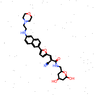 N#C/C(=C\c1ccc(-c2ccc3cc(NCCN4CCOCC4)ccc3c2)o1)C(=O)NCC1CC(O)CC(O)O1